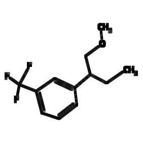 CCC(COC)c1cccc(C(F)(F)F)c1